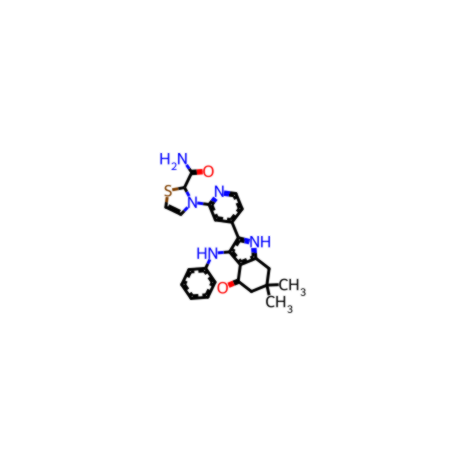 CC1(C)CC(=O)c2c([nH]c(-c3ccnc(N4C=CSC4C(N)=O)c3)c2Nc2ccccc2)C1